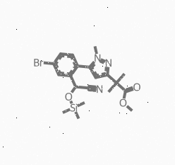 COC(=O)C(C)(C)c1cc(-c2ccc(Br)cc2C(C#N)O[Si](C)(C)C)n(C)n1